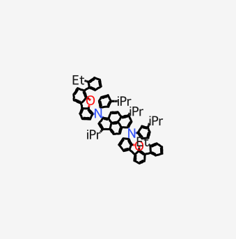 CCc1ccccc1-c1cccc2c1oc1c(N(c3cccc(C(C)C)c3)c3cc(C(C)C)c4ccc5c(N(c6cccc(C(C)C)c6)c6cccc7c6oc6c(-c8ccccc8CC)cccc67)cc(C(C)C)c6ccc3c4c65)cccc12